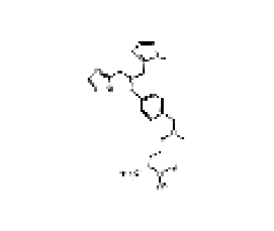 CCCN(CCC)[C@@H](CCCN(C)Cc1ccc(CN(Cc2ncc[nH]2)Cc2nccn2C)cc1)C(=O)O